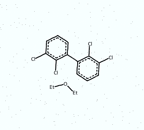 CCOCC.Clc1cccc(-c2cccc(Cl)c2Cl)c1Cl